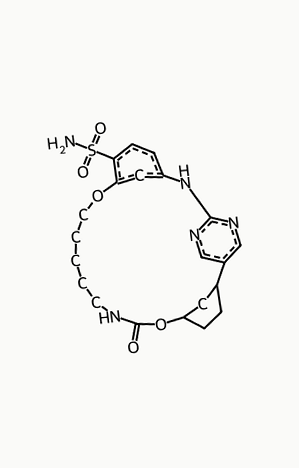 NS(=O)(=O)c1ccc2cc1OCCCCCNC(=O)OC1CCC(C1)c1cnc(nc1)N2